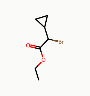 CCOC(=O)[C@H](Br)C1CC1